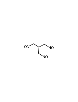 O=NCC(CN=O)CN=O